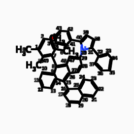 Cc1cc(C)c(C)c(-c2c3ccccc3c(-c3cccc4ccccc34)c3ccc(-n4c(-c5ccccc5)ccc4-c4ccccc4)cc23)c1C